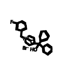 OC(c1ccccc1)(c1ccccc1)C12CC[N+](Cc3cccc(F)c3)(CC1)CC2.[Br-]